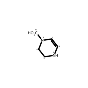 O=C(O)N1C=CNCC1